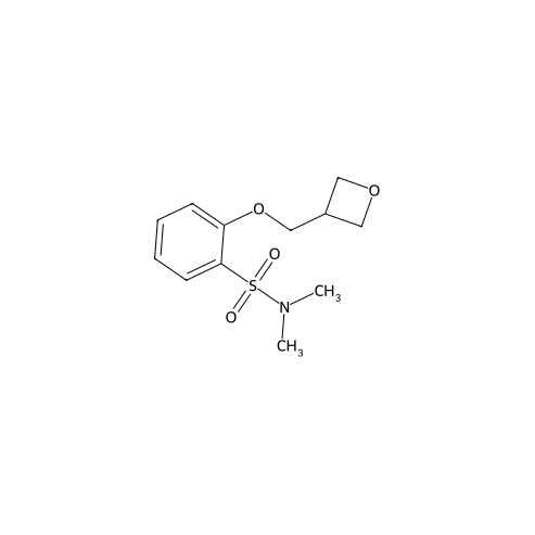 CN(C)S(=O)(=O)c1ccccc1OCC1COC1